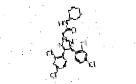 O=C(Cn1nc(-c2ccc(Cl)cc2Cl)c(-c2ccc(Cl)cc2Cl)n1)NC1CCCCC1